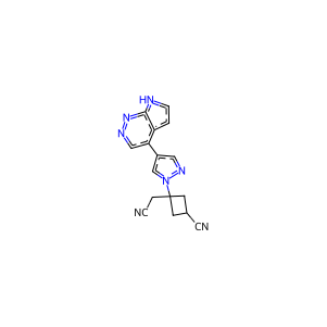 N#CCC1(n2cc(-c3cnnc4[nH]ccc34)cn2)CC(C#N)C1